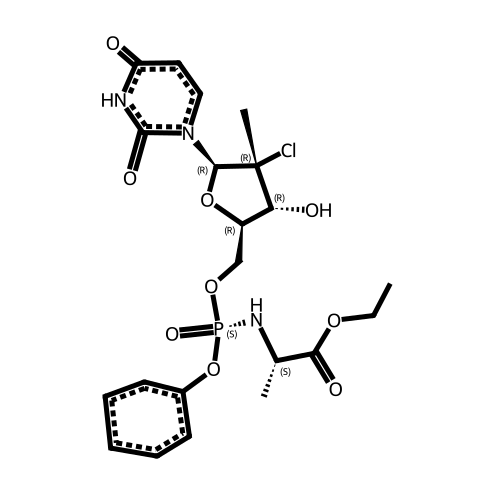 CCOC(=O)[C@H](C)N[P@](=O)(OC[C@H]1O[C@@H](n2ccc(=O)[nH]c2=O)[C@](C)(Cl)[C@@H]1O)Oc1ccccc1